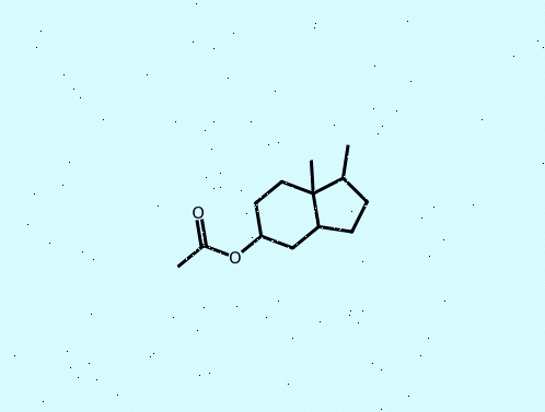 CC(=O)OC1CCC2(C)C(C)CCC2C1